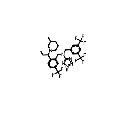 CCC(c1ccc(C(F)(F)F)cc1CN(Cc1cc(C(F)(F)F)cc(C(F)(F)F)c1)c1nnn(C)n1)N1CCCC(C)C1